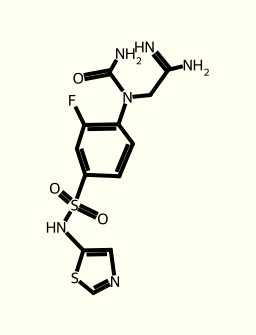 N=C(N)CN(C(N)=O)c1ccc(S(=O)(=O)Nc2cncs2)cc1F